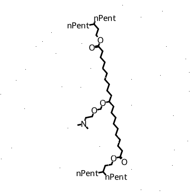 CCCCCC(CCCCC)CCOC(=O)CCCCCCCCCC(CCCCCCCCCC(=O)OCCC(CCCCC)CCCCC)OCOCCN(C)C